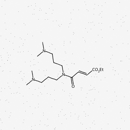 CCOC(=O)C=CC(=O)N(CCCN(C)C)CCCN(C)C